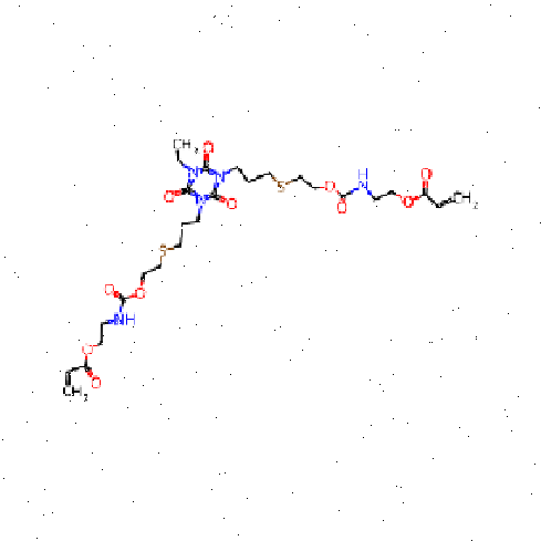 C=CC(=O)OCCNC(=O)OCCSCCCn1c(=O)n(CC)c(=O)n(CCCSCCOC(=O)NCCOC(=O)C=C)c1=O